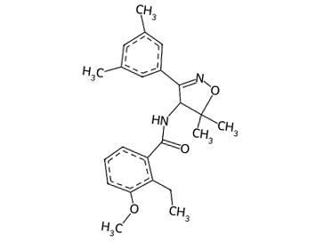 CCc1c(OC)cccc1C(=O)NC1C(c2cc(C)cc(C)c2)=NOC1(C)C